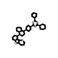 c1ccc(-c2nc(-c3ccccc3)nc(-c3ccc(-c4ccc(-c5cccc6oc7cccnc7c56)c5ccccc45)cc3)n2)cc1